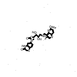 COc1ccc2ncc(F)c(CNC[C@H](O)[C@@H](O)[C@@H]3CN(c4ccc5c(c4)NC(=O)CS5)C(=O)O3)c2n1